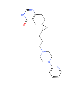 O=c1[nH]cnc2c1CC1(CC2)CC1CCCN1CCN(c2ccccn2)CC1